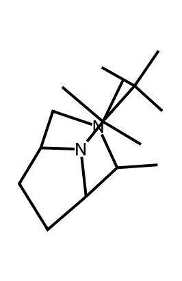 CC1C2CCC(CN1C(C)(C)C)N2C(C)(C)C